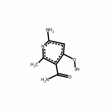 Cc1nc(N)cc(OC(C)C)c1C(N)=O